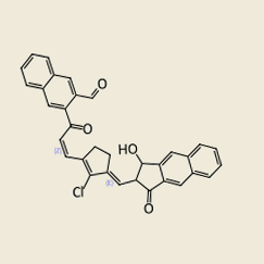 O=Cc1cc2ccccc2cc1C(=O)/C=C\C1=C(Cl)C(=C/C2C(=O)c3cc4ccccc4cc3C2O)/CC1